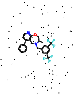 CC1COc2nccc(-c3ccccc3)c2CN1Cc1cc(C(F)(F)F)cc(C(F)(F)F)c1